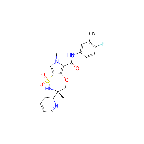 Cn1cc2c(c1C(=O)Nc1ccc(F)c(C#N)c1)OC[C@](C)(C1CC=CC=N1)NS2(=O)=O